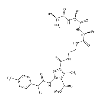 CCC(C(=O)Nc1sc(C(=O)NCCNC(=O)[C@@H](NC(=O)[C@@H](NC(=O)[C@@H](N)C(C)C)C(C)C)C(C)C)c(C)c1C(=O)OC)c1ccc(C(F)(F)F)cc1